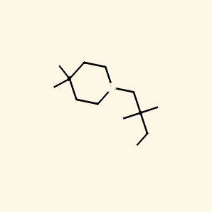 OCC(F)(F)CN1CCC(F)(F)CC1